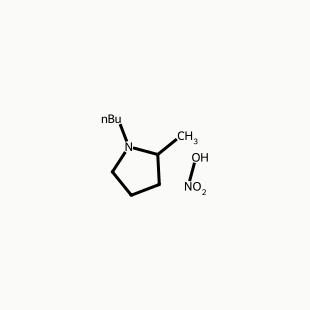 CCCCN1CCCC1C.O=[N+]([O-])O